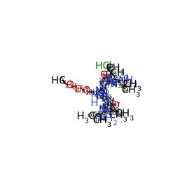 C#CCOCCOCCOCCNc1nc(N2CCN(C(=O)[C@H]([C@@H](C)CC)n3cc([C@@H](N)CC(C)C)nn3)CC2)nc(N2CCN(C(=O)[C@H]([C@@H](C)CC)n3cc([C@@H](N)CC(C)C)nn3)CC2)n1.Cl